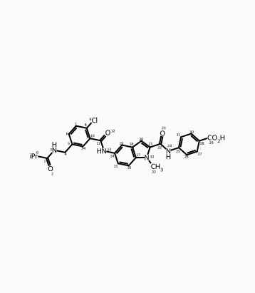 CC(C)C(=O)NCc1ccc(Cl)c(C(=O)Nc2ccc3c(c2)cc(C(=O)Nc2ccc(C(=O)O)cc2)n3C)c1